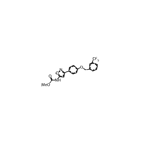 COC(=O)Nc1cc(-c2ccc(OCc3cccc(C(F)(F)F)c3)cc2)no1